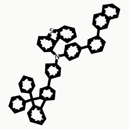 c1ccc(C2(c3ccccc3)c3ccccc3-c3ccc(-c4ccc(N(c5ccc(-c6cccc(-c7ccc8ccccc8c7)c6)cc5)c5cccc6sc7ccccc7c56)cc4)cc32)cc1